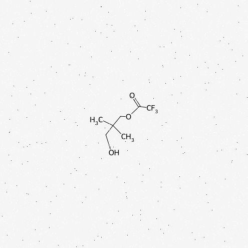 CC(C)(CO)COC(=O)C(F)(F)F